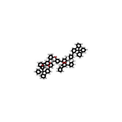 Cc1cc(-c2ccc(N(c3ccc(-c4ccc5c(c4)C(c4ccccc4)(c4ccccc4)c4ccccc4-5)cc3)c3c(C)cccc3-c3ccc4oc5ccccc5c4c3)c(C)c2)ccc1N(c1ccc(-c2ccc3c(c2)C(c2ccccc2)(c2ccccc2)c2ccccc2-3)cc1)c1c(C)cccc1-c1ccc2oc3ccccc3c2c1